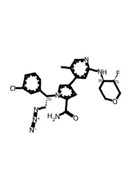 Cc1cnc(N[C@@H]2CCOC[C@H]2F)cc1-c1cc(C(N)=O)n([C@H](CN=[N+]=[N-])c2cccc(Cl)c2)c1